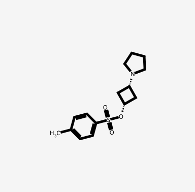 Cc1ccc(S(=O)(=O)O[C@H]2C[C@@H](N3CCCC3)C2)cc1